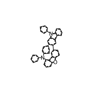 c1ccc(N(c2ccccc2)c2cccc3oc4ccc(-c5ccc6c(c5)c5ccccc5n6-c5ccccc5)cc4c23)cc1